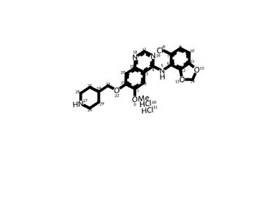 COc1cc2c(Nc3c(Cl)ccc4c3OCO4)ncnc2cc1OCC1CCNCC1.Cl.Cl